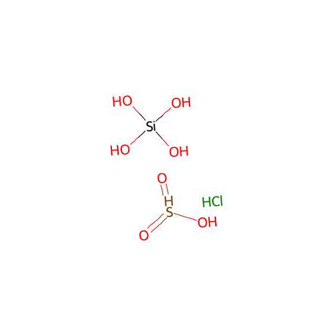 Cl.O=[SH](=O)O.O[Si](O)(O)O